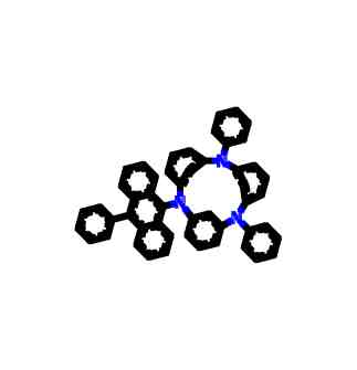 c1ccc(-c2c3ccccc3c(N3c4cccc(c4)N(c4ccccc4)c4cccc(c4)N(c4ccccc4)c4cccc3c4)c3ccccc23)cc1